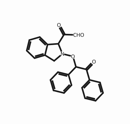 O=CC(=O)C1c2ccccc2CN1OC(C(=O)c1ccccc1)c1ccccc1